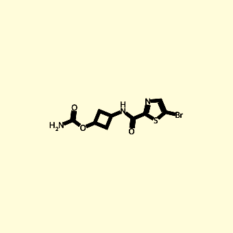 NC(=O)OC1CC(NC(=O)c2ncc(Br)s2)C1